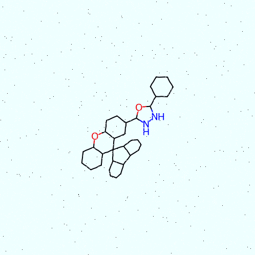 C1CCC(C2NNC(C3CCC4OC5CCCCC5C5(C4C3)C3CCCCC3C3CCCCC35)O2)CC1